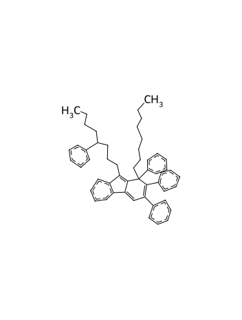 CCCCCCCCC1(c2ccccc2)C2=C(CCCC(CCCC)c3ccccc3)c3ccccc3C2=CC(c2ccccc2)=C1c1ccccc1